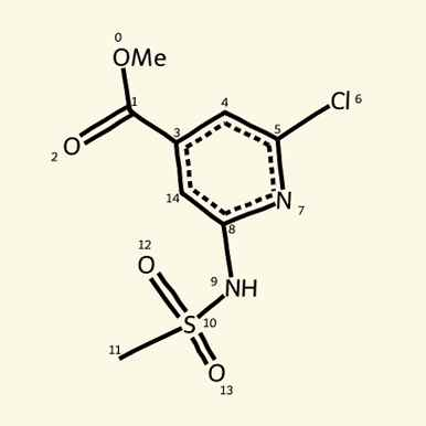 COC(=O)c1cc(Cl)nc(NS(C)(=O)=O)c1